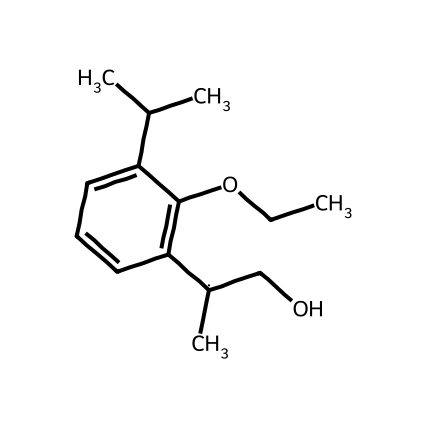 CCOc1c([C](C)CO)cccc1C(C)C